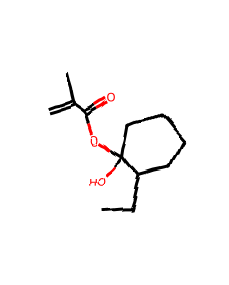 C=C(C)C(=O)OC1(O)CCCCC1CC